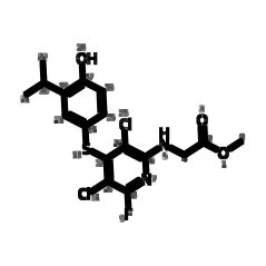 COC(=O)CNc1nc(F)c(Cl)c(Sc2ccc(O)c(C(C)C)c2)c1Cl